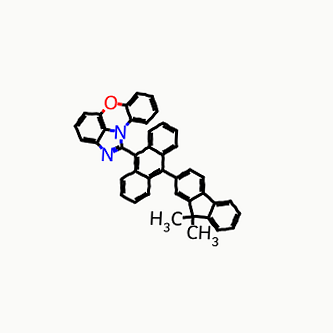 CC1(C)c2ccccc2-c2ccc(-c3c4ccccc4c(-c4nc5cccc6c5n4-c4ccccc4O6)c4ccccc34)cc21